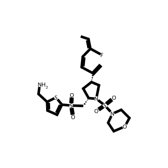 C=C(/C=C\C(F)=C/C)[C@H]1C[C@@H](CS(=O)(=O)c2ccc(CN)s2)N(S(=O)(=O)N2CCOCC2)C1